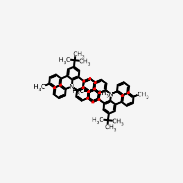 Cc1ccc(-c2cc(C(C)(C)C)cc(-c3ccc(C)cc3)c2N(c2ccccc2)c2ccc3ccc4c(N(c5ccccc5)c5c(-c6ccc(C)cc6)cc(C(C)(C)C)cc5-c5ccc(C)cc5)ccc5ccc2c3c54)cc1